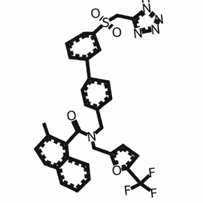 Cc1ccc2ccccc2c1C(=O)N(Cc1ccc(-c2cccc(S(=O)(=O)Cc3nnn[nH]3)c2)cc1)Cc1ccc(C(F)(F)F)o1